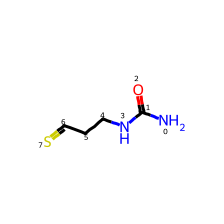 NC(=O)NCCC=S